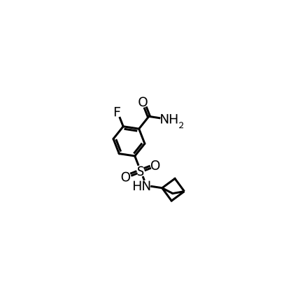 NC(=O)c1cc(S(=O)(=O)NC23CC(C2)C3)ccc1F